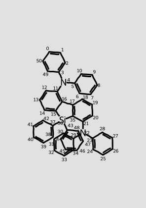 c1ccc(N(c2ccccc2)c2cccc3c2-c2cccc(N(c4ccccc4)c4ccccc4)c2[Si]3(c2ccccc2)c2ccccc2)cc1